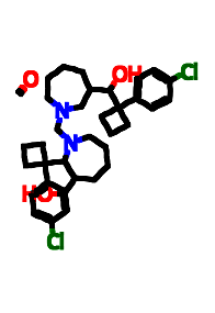 C=O.OCC1CCCCN(CN2CCCCC(C(O)C3(c4ccc(Cl)cc4)CCC3)C2)C1C1(c2ccc(Cl)cc2)CCC1